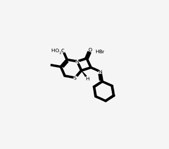 Br.CC1=C(C(=O)O)N2C(=O)C(N=C3CCCCC3)[C@@H]2SC1